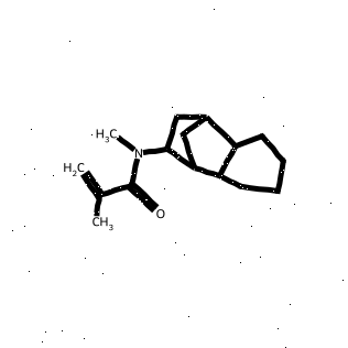 C=C(C)C(=O)N(C)C1CC2CC1C1CCCCC21